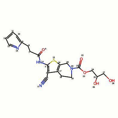 N#Cc1c(NC(=O)CCc2ccccn2)sc2c1CCN(C(=O)OCC(O)CO)C2